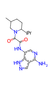 CC1CCC(C(C)C)N(C(=O)C(=O)Nc2cnc(N)c3cn[nH]c23)C1